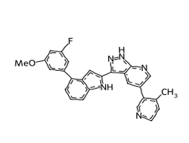 COc1cc(F)cc(-c2cccc3[nH]c(-c4n[nH]c5ncc(-c6cnccc6C)cc45)cc23)c1